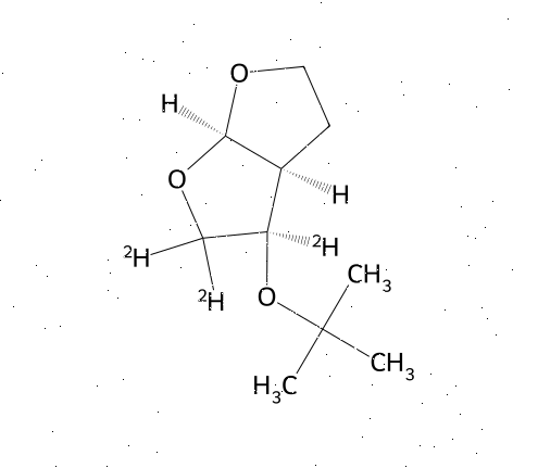 [2H]C1([2H])O[C@H]2OCC[C@H]2[C@@]1([2H])OC(C)(C)C